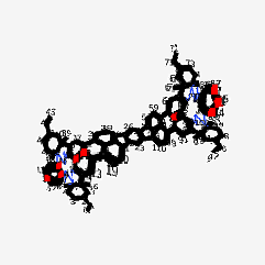 CCC1CCC2(C)N(c3ccccc3)c3ccc(-c4ccc5c6cc7c(cc6c6ccc(-c8ccc9c(c8)C8(C)CC(CC)CCC8(C)N9c8ccccc8)c4c56)c4ccc(-c5ccc6c(c5)C5(C)CC(CC)CCC5(C)N6c5ccccc5)c5c(-c6ccc8c(c6)C6(C)CC(CC)CCC6(C)N8c6ccccc6)ccc7c54)cc3C2(C)C1